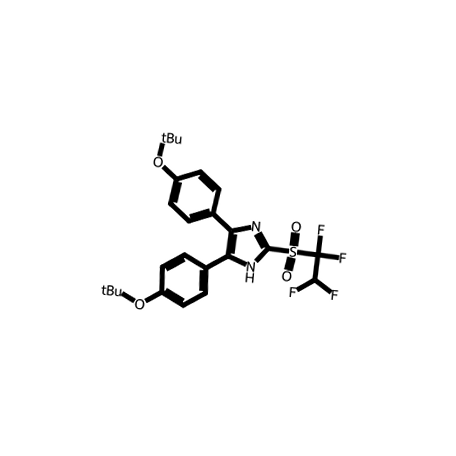 CC(C)(C)Oc1ccc(-c2nc(S(=O)(=O)C(F)(F)C(F)F)[nH]c2-c2ccc(OC(C)(C)C)cc2)cc1